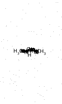 CN1CCC(n2cc(C(=O)Nc3cc4nc(-c5cn(C)nn5)ccc4cn3)cn2)CC1